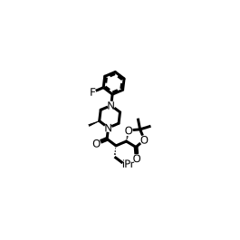 CC(C)C[C@H](C(=O)N1CCN(c2ccccc2F)C[C@@H]1C)[C@@H]1OC(C)(C)OC1=O